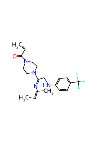 C=CC(=O)N1CCN(/C(CNc2ccc(C(F)(F)F)cc2)=N/C(C)=C\C)CC1